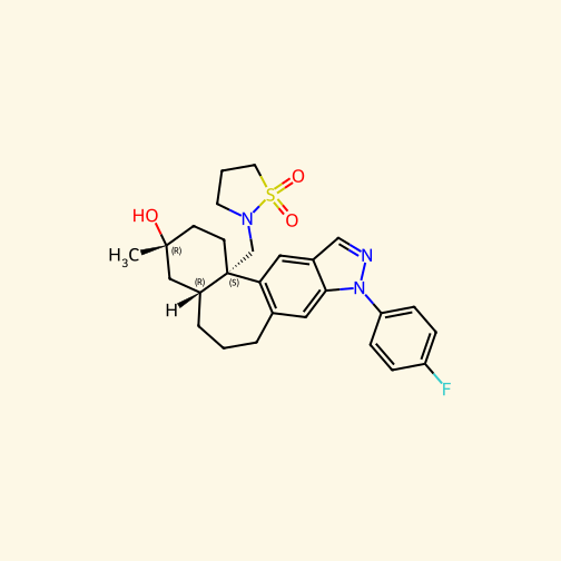 C[C@@]1(O)CC[C@@]2(CN3CCCS3(=O)=O)c3cc4cnn(-c5ccc(F)cc5)c4cc3CCC[C@@H]2C1